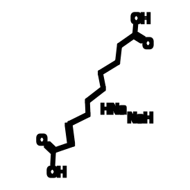 O=C(O)C=CCCCCCCC(=O)O.[NaH].[NaH]